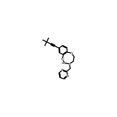 CC(C)(C)C#Cc1ccc2c(c1)ONN(Cc1ncccn1)CCO2